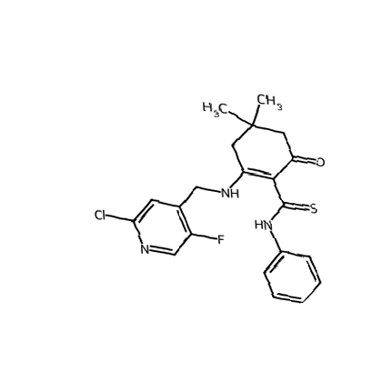 CC1(C)CC(=O)C(C(=S)Nc2ccccc2)=C(NCc2cc(Cl)ncc2F)C1